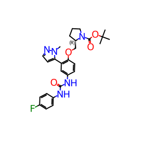 Cn1nccc1-c1cc(NC(=O)Nc2ccc(F)cc2)ccc1OC[C@H]1CCCN1C(=O)OC(C)(C)C